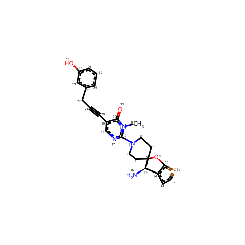 Cn1c(N2CCC3(CC2)Oc2sccc2[C@H]3N)ncc(C#CCc2cccc(O)c2)c1=O